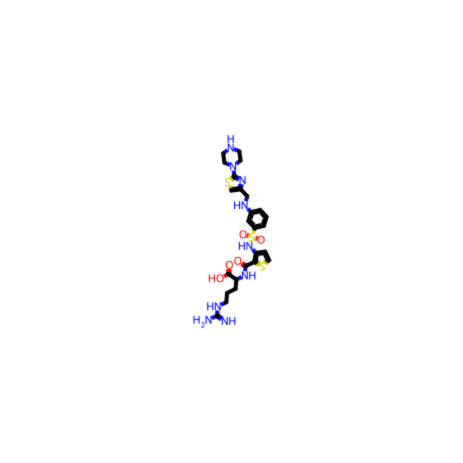 N=C(N)NCCCC(NC(=O)c1sccc1NS(=O)(=O)c1cccc(NCc2csc(N3CCNCC3)n2)c1)C(=O)O